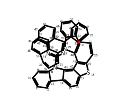 c1ccc(-c2nc(-n3c4ccccc4c4ccc5sc6ccc7c8ccccc8n(-c8cccc9ccccc89)c7c6c5c43)nc3ccccc23)cc1